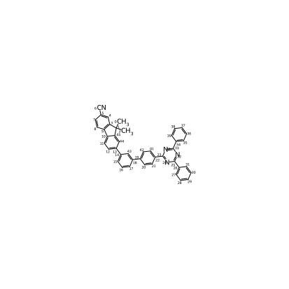 CC1(C)c2cc(C#N)ccc2-c2ccc(-c3cccc(-c4ccc(-c5nc(-c6ccccc6)nc(-c6ccccc6)n5)cc4)c3)cc21